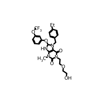 CCc1ccc(CN2c3c(n(C)c(=O)n(CCOCCO)c3=O)NC2Oc2cccc(OC(F)(F)F)c2)cc1